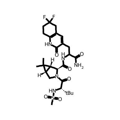 CC(C)(C)[C@H](NS(C)(=O)=O)C(=O)N1C[C@H]2[C@@H]([C@H]1C(=O)NC(Cc1cc3c([nH]c1=O)CCC(F)(F)C3)C(N)=O)C2(C)C